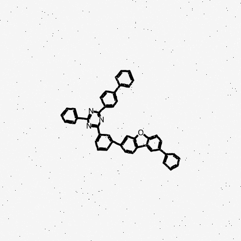 c1ccc(-c2ccc(-c3nc(-c4ccccc4)nc(-c4cccc(-c5ccc6c(c5)oc5ccc(-c7ccccc7)cc56)c4)n3)cc2)cc1